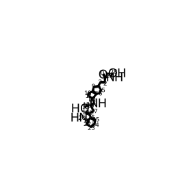 O=C(C=Cc1ccc2c(c1)CC[C@@H]2N[C@H](CO)Cc1c[nH]c2ccccc12)NO